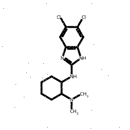 CN(C)C1CCCCC1Nc1nc2cc(Cl)c(Cl)cc2[nH]1